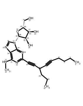 CCCCC#CC(C#Cc1nc(NC)c2ncn([C@@H]3O[C@H](CO)[C@@H](O)[C@H]3O)c2n1)CCC